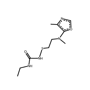 CCNC(=O)NSCCN(C)c1ocnc1C